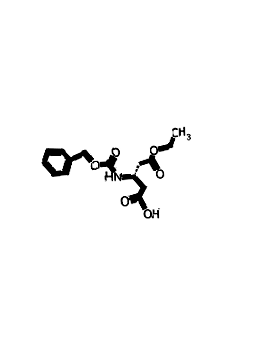 CCOC(=O)C[C@H](CC(=O)O)NC(=O)OCc1ccccc1